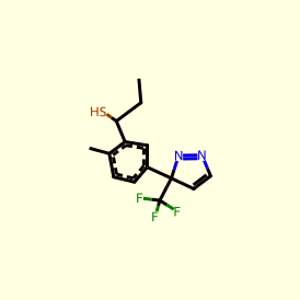 CCC(S)c1cc(C2(C(F)(F)F)C=CN=N2)ccc1C